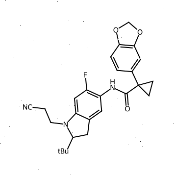 CC(C)(C)C1Cc2cc(NC(=O)C3(c4ccc5c(c4)OCO5)CC3)c(F)cc2N1CCC#N